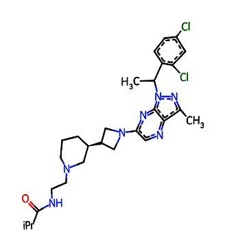 Cc1nn(C(C)c2ccc(Cl)cc2Cl)c2nc(N3CC([C@@H]4CCCN(CCNC(=O)C(C)C)C4)C3)cnc12